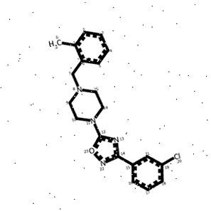 Cc1ccccc1CN1CCN(c2nc(-c3cccc(Cl)c3)no2)CC1